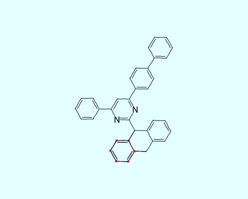 c1ccc(-c2ccc(-c3cc(-c4ccccc4)nc(C45c6ccccc6C(c6ccccc64)c4ccccc45)n3)cc2)cc1